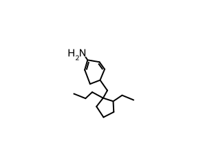 CCCC1(CC2C=CC(N)=CC2)CCCC1CC